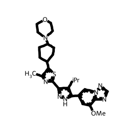 COc1cc(-c2[nH]nc(-c3nc(C)c(C4CCC(N5CCOCC5)CC4)s3)c2C(C)C)cn2ncnc12